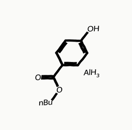 CCCCOC(=O)c1ccc(O)cc1.[AlH3]